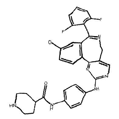 O=C(Nc1ccc(Nc2ncc3c(n2)-c2ccc(Cl)cc2C(c2c(F)cccc2F)=NC3)cc1)C1CCNCC1